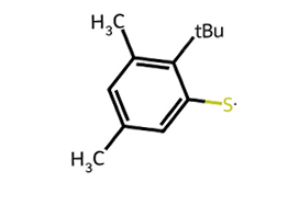 Cc1cc(C)c(C(C)(C)C)c([S])c1